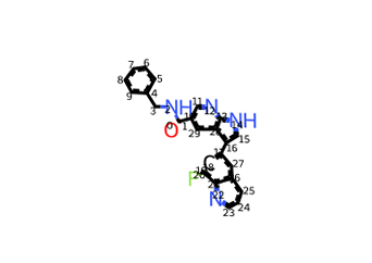 O=C(NCc1ccccc1)c1cnc2[nH]cc(-c3cc(F)c4ncccc4c3)c2c1